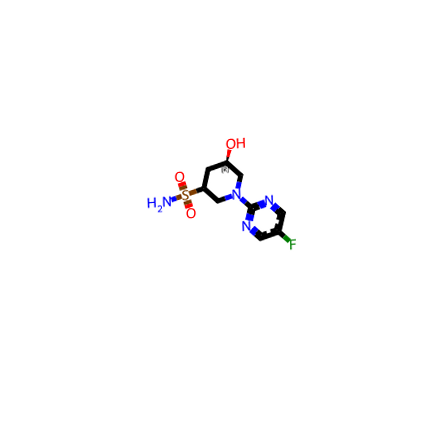 NS(=O)(=O)C1C[C@@H](O)CN(c2ncc(F)cn2)C1